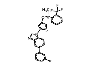 C[C@@H](Oc1csc(-n2cnc3cc(-c4ccnc(F)c4)ccc32)c1)c1ccccc1C(F)(F)F